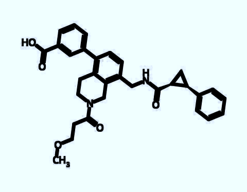 COCCC(=O)N1CCc2c(-c3cccc(C(=O)O)c3)ccc(CNC(=O)[C@H]3C[C@H]3c3ccccc3)c2C1